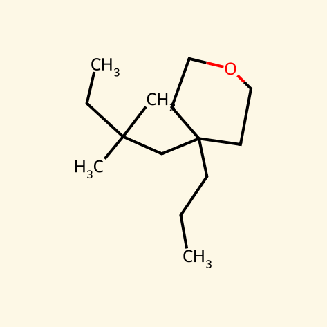 CCCC1(CC(C)(C)CC)CCOCC1